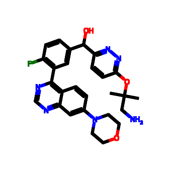 CC(C)(CN)Oc1ccc(C(O)c2ccc(F)c(-c3ncnc4cc(N5CCOCC5)ccc34)c2)nn1